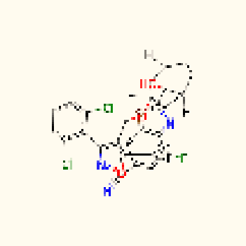 CC1(OCc2c(-c3c(Cl)cccc3Cl)noc2C2CC2)C[C@H]2CC[C@@H](C1)[C@]2(O)c1nc2c(F)cc(C#N)cc2s1